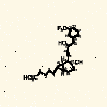 O=C(O)CCC/C=C1\C[C@@H]2[C@@H](C#CC(O)Cc3cccc(C(F)(F)F)c3)[C@H](O)CC[C@H]12